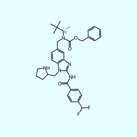 C[C@H](N(Cc1ccc2c(c1)nc(NC(=O)c1ccc(C(F)F)cc1)n2CC1CCCN1)C(=O)OCc1ccccc1)C(C)(C)C